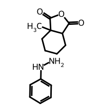 CC12CCCCC1C(=O)OC2=O.NNc1ccccc1